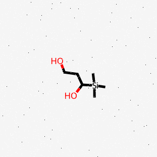 C[Si](C)(C)C(O)CCO